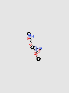 CC(=O)NC1=Nc2cc(OCCCC(=O)NN3CCCCC3)ccc2CN1CC(=O)OCc1ccccc1